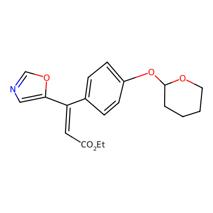 CCOC(=O)/C=C(\c1ccc(OC2CCCCO2)cc1)c1cnco1